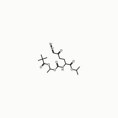 CC(C)OC(=O)C(CCC(=O)C=[N+]=[N-])NC(=O)OC(C)OC(=O)C(C)(C)C